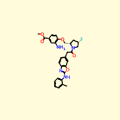 COC(=O)c1ccc(OC[C@@H]2C[C@H](F)CN2C(=O)Cc2ccc3nc(Nc4ccccc4C)oc3c2)c(N)c1